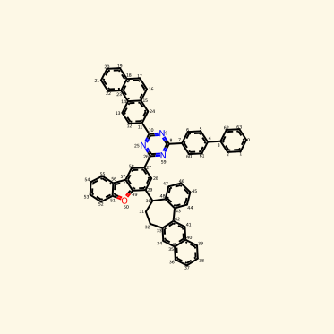 c1ccc(-c2ccc(-c3nc(-c4ccc5c(ccc6ccccc65)c4)nc(-c4cc(C5CCc6cc7ccccc7cc6-c6ccccc65)c5oc6ccccc6c5c4)n3)cc2)cc1